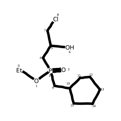 CCOP(=O)(CC(O)CCl)CC1CCCCC1